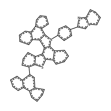 c1ccc2c(c1)cc(-c1cccc3c1sc1c4ccccc4c4c(c31)c1c3ccccc3c3ccccc3c1n4-c1ccc(-c3cn4ccccc4n3)cc1)c1ccccc12